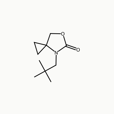 CC(C)(C)CN1C(=O)OCC12CC2